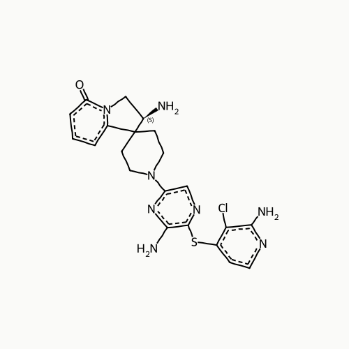 Nc1nc(N2CCC3(CC2)c2cccc(=O)n2C[C@H]3N)cnc1Sc1ccnc(N)c1Cl